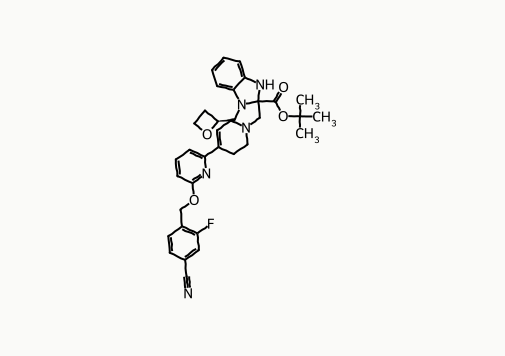 CC(C)(C)OC(=O)C1(CN2CC=C(c3cccc(OCc4ccc(C#N)cc4F)n3)CC2)Nc2ccccc2N1C[C@@H]1CCO1